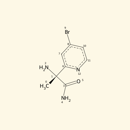 C[C@](N)(C(N)=O)c1cc(Br)ccn1